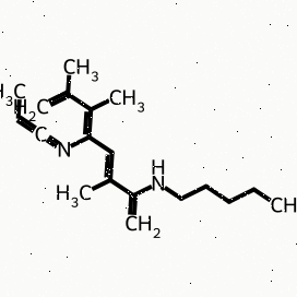 C=C(C)/C(C)=C(/C=C(\C)C(=C)NCCCCC)N=C=CC